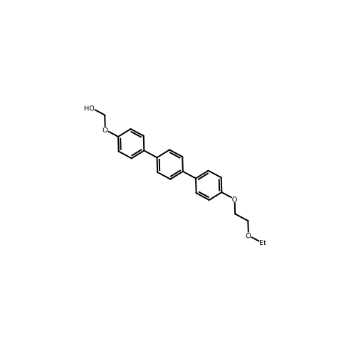 CCOCCOc1ccc(-c2ccc(-c3ccc(OCO)cc3)cc2)cc1